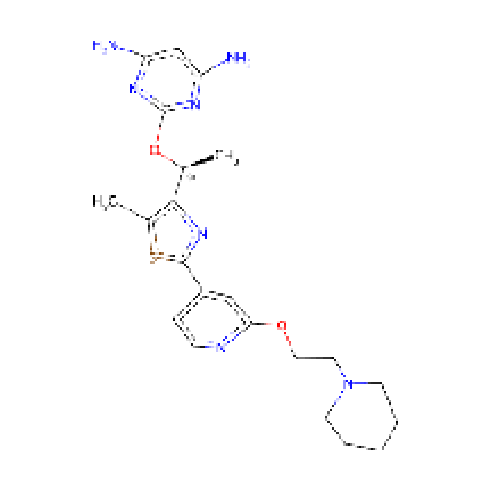 Cc1sc(-c2ccnc(OCCN3CCCCC3)c2)nc1[C@H](C)Oc1nc(N)cc(N)n1